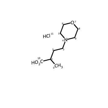 CC(CCN1CCOCC1)C(=O)O.Cl